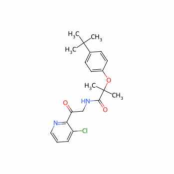 CC(C)(Oc1ccc(C(C)(C)C)cc1)C(=O)NCC(=O)c1ncccc1Cl